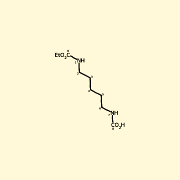 CCOC(=O)NCCCCCNC(=O)O